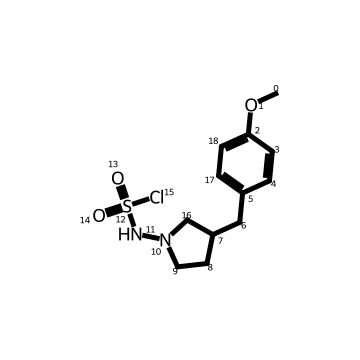 COc1ccc(CC2CCN(NS(=O)(=O)Cl)C2)cc1